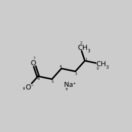 CC(C)CCCC(=O)[O-].[Na+]